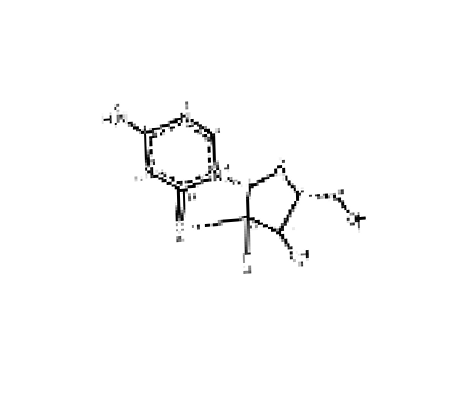 Nc1ncn([C@@H]2O[C@H](CO)C(O)C2(F)F)c(=O)n1